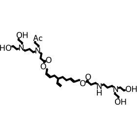 C=CC(C/C=C\COC(=O)CCN(CCCN(CCO)CCO)CCC(C)=O)CC/C=C/COC(=O)CCNCCCN(CCO)CCO